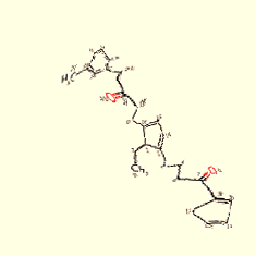 CCC1C(CCCC(=O)C2=CC=CC2)=CC=C1CCC(=O)Cc1cccc(C)c1